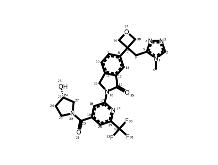 Cn1cnnc1CC1(c2ccc3c(c2)C(=O)N(c2cc(C(=O)N4CC[C@H](O)C4)cc(C(F)(F)F)n2)C3)COC1